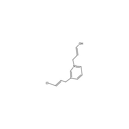 OC=CC[n+]1cccc(CC=CCl)c1